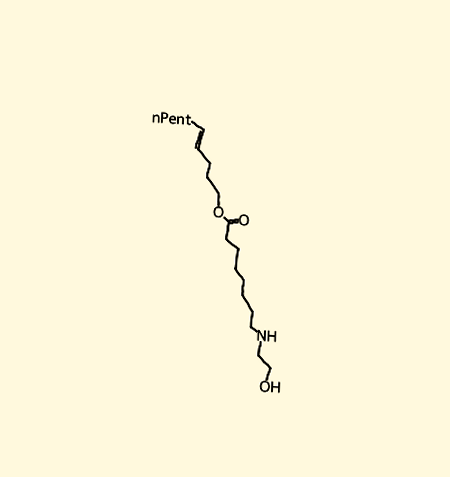 CCCCCC=CCCCOC(=O)CCCCCCCNCCO